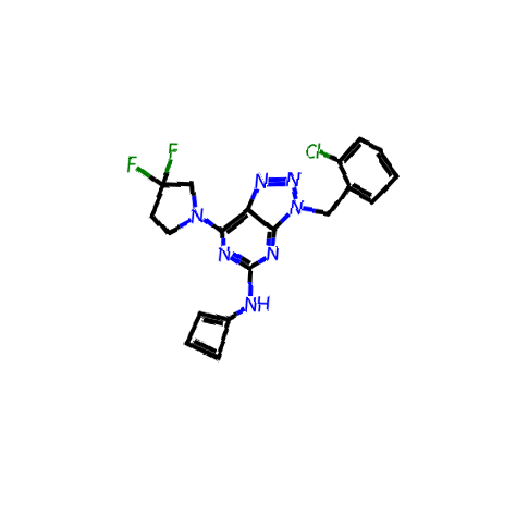 FC1(F)CCN(c2nc(NC3=CC=C3)nc3c2nnn3Cc2ccccc2Cl)C1